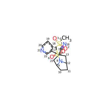 CS(=O)(=O)CS(=O)(=O)N1C2CCC1CC(C#N)(c1cccnc1)C2